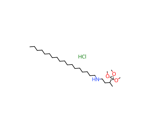 CCCCCCCCCCCCCCCCCCNCCC(C)[Si](OC)(OC)OC.Cl